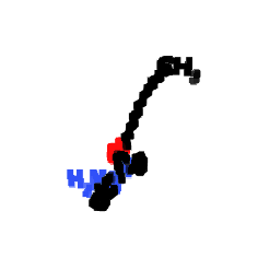 CCCCCCCCCCCCCCCCCCOc1cn(Cc2ccccc2)c(CN2CCC(CN)(c3ccccc3)CC2)cc1=O